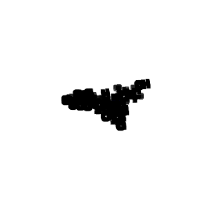 CCN(CCO)c1ccc(/N=C2\C(=O)N(c3c(Cl)cc(Cl)cc3Cl)N=C2Nc2cc(N(C=O)C(=O)C(=O)C(=O)C(=O)C(=O)C=O)ccc2Cl)c(C)c1